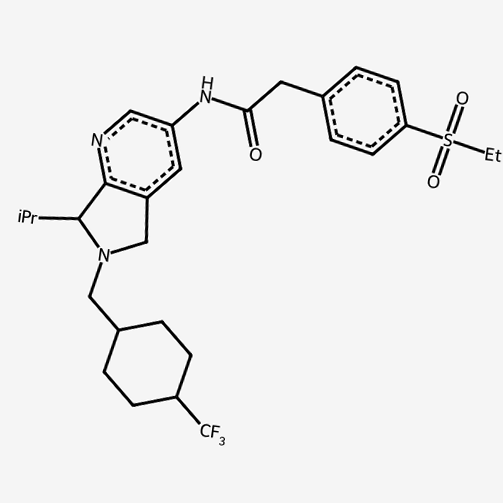 CCS(=O)(=O)c1ccc(CC(=O)Nc2cnc3c(c2)CN(CC2CCC(C(F)(F)F)CC2)C3C(C)C)cc1